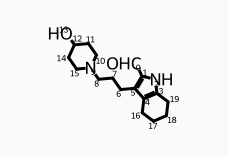 O=Cc1[nH]c2c(c1CCCN1CCC(O)CC1)CCCC2